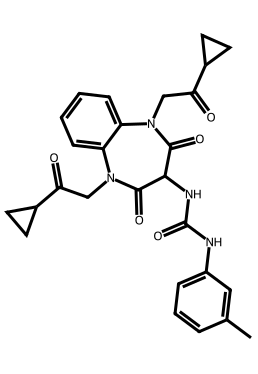 Cc1cccc(NC(=O)NC2C(=O)N(CC(=O)C3CC3)c3ccccc3N(CC(=O)C3CC3)C2=O)c1